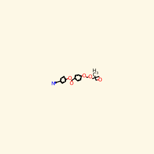 CC1(COCOc2ccc(C(=O)Oc3ccc(C#N)cc3)cc2)COC1